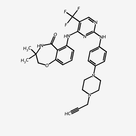 C#CCN1CCN(c2ccc(Nc3ncc(C(F)(F)F)c(Nc4cccc5c4C(=O)NC(C)(C)CO5)n3)cc2)CC1